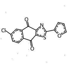 O=C1c2cc(Cl)ccc2C(=O)c2sc(-c3ccco3)nc21